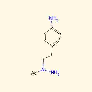 CC(=O)N(N)CCc1ccc(N)cc1